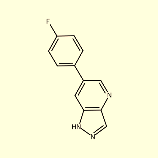 Fc1ccc(-c2cnc3cn[nH]c3c2)cc1